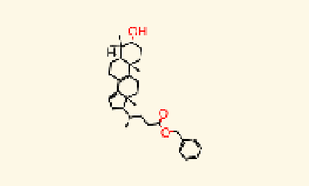 C[C@H](CCC(=O)OCc1ccccc1)[C@H]1CC=C2C3=C(CC[C@@]21C)[C@@]1(C)CC[C@H](O)C(C)(C)[C@@H]1CC3